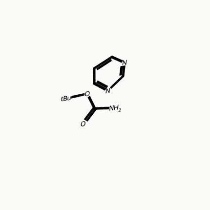 CC(C)(C)OC(N)=O.c1cncnc1